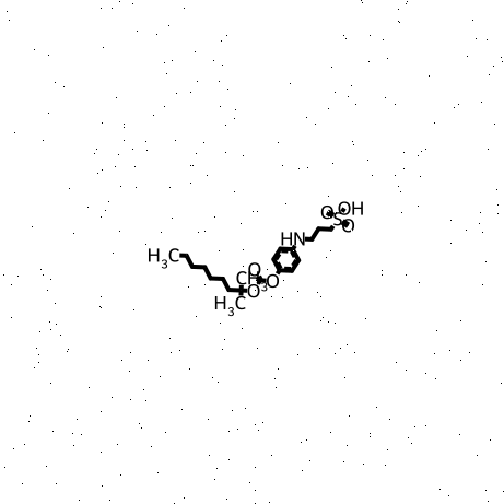 CCCCCCCC(C)(C)OC(=O)Oc1ccc(NCCCS(=O)(=O)O)cc1